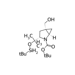 CC(C)(C)OC(=O)N1[C@H](C(C)(C)O[SiH2]C(C)(C)C)C[C@@]2(CO)C[C@@H]12